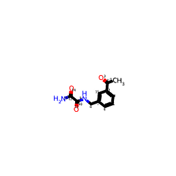 CC(=O)c1cccc(CNC(=O)C(N)=O)c1